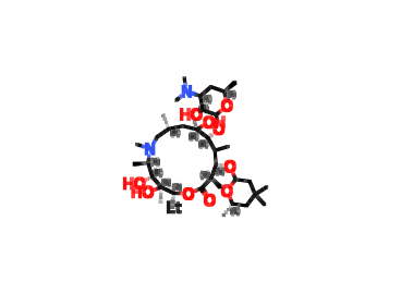 CC[C@H]1OC(=O)[C@H](C)[C@@H](OC2CC(C)(C)C[C@H](C)O2)C(C)[C@@H](OC2O[C@H](C)C[C@H](N(C)C)[C@H]2O)[C@](C)(O)C[C@@H](C)CN(C)[C@H](C)[C@@H](O)[C@]1(C)O